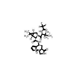 CC(C)(C)[C@H](NC(=O)C(F)(F)F)C(=O)N1C[C@H]2[C@H]([C@H]1C(=O)N[C@@H](CC1CCNC1=O)C1=CC=CS1(=O)=O)C2(C)C